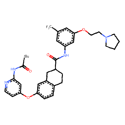 CC(C)(C)C(=O)Nc1cc(Oc2ccc3c(c2)CC(C(=O)Nc2cc(OCCN4CCCC4)cc(C(F)(F)F)c2)CC3)ccn1